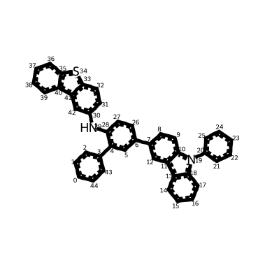 c1ccc(-c2cc(-c3ccc4c(c3)c3ccccc3n4-c3ccccc3)ccc2Nc2ccc3sc4ccccc4c3c2)cc1